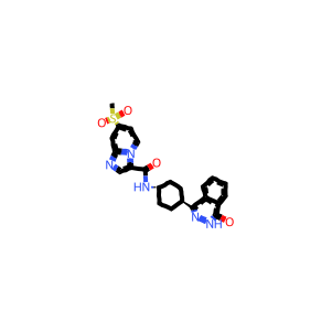 CS(=O)(=O)c1ccn2c(C(=O)N[C@H]3CC[C@H](c4n[nH]c(=O)c5ccccc54)CC3)cnc2c1